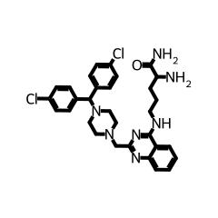 NC(=O)C(N)CCCNc1nc(CN2CCN(C(c3ccc(Cl)cc3)c3ccc(Cl)cc3)CC2)nc2ccccc12